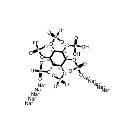 O=P([O-])([O-])O[C@@H]1[C@@H](OP(=O)([O-])[O-])[C@H](OP(=O)([O-])[O-])[C@@H](OP(=O)(O)O)[C@@H](OP(=O)([O-])[O-])[C@H]1OP(=O)([O-])[O-].[Na+].[Na+].[Na+].[Na+].[Na+].[Na+].[Na+].[Na+].[Na+].[Na+]